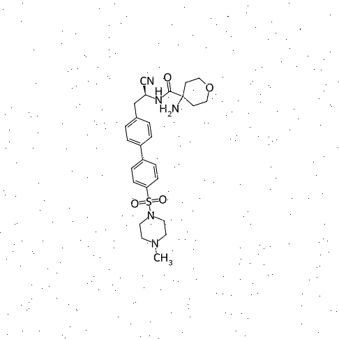 CN1CCN(S(=O)(=O)c2ccc(-c3ccc(C[C@@H](C#N)NC(=O)C4(N)CCOCC4)cc3)cc2)CC1